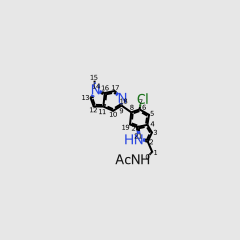 CC(=O)NCc1cc2cc(Cl)c(-c3cc4ccn(C)c4cn3)cc2[nH]1